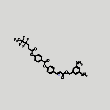 Nc1cc(N)cc(COC(=O)/C=C/c2ccc(OC(=O)c3ccc(OC(=O)CCC(F)(F)C(F)(F)C(F)(F)F)cc3)cc2)c1